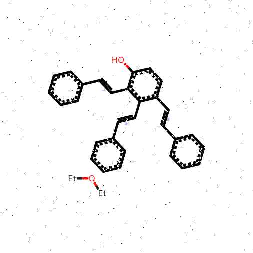 CCOCC.Oc1ccc(/C=C/c2ccccc2)c(/C=C/c2ccccc2)c1/C=C/c1ccccc1